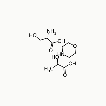 C1COCCN1.CC(O)C(=O)O.N[C@@H](CO)C(=O)O